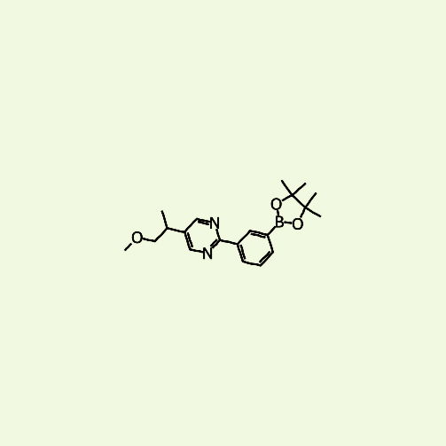 COCC(C)c1cnc(-c2cccc(B3OC(C)(C)C(C)(C)O3)c2)nc1